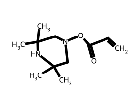 C=CC(=O)ON1CC(C)(C)NC(C)(C)C1